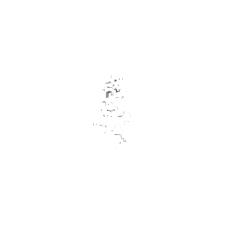 CNC(=O)c1cc(-c2cccc(CN3O[C@@H](CO)[C@H]([C@H](C)O)[C@H]3C(=O)N[C@H]3C[C@H]4C[C@@H]([C@@H]3C)C4(C)C)c2OC)cc(N(C)C)c1